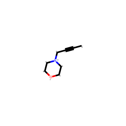 [CH2]C#CCN1CCOCC1